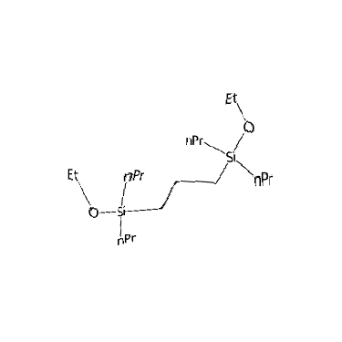 CCC[Si](CCC)(CCC[Si](CCC)(CCC)OCC)OCC